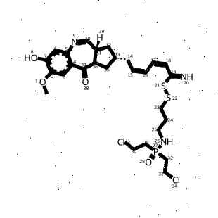 COc1cc2c(cc1O)N=C[C@@H]1C[C@H](C/C=C\C=C/C(=N)SSCCCNP(=O)(CCCl)CCCl)CC1C2=O